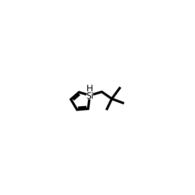 CC(C)(C)C[SiH]1C=CC=C1